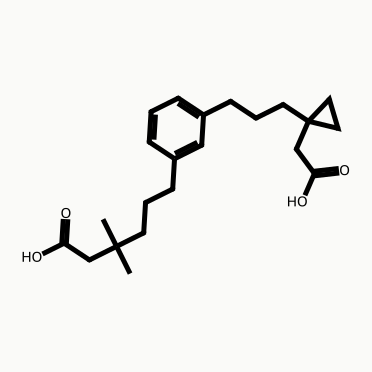 CC(C)(CCCc1cccc(CCCC2(CC(=O)O)CC2)c1)CC(=O)O